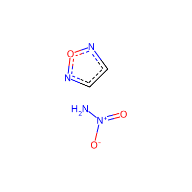 N[N+](=O)[O-].c1cnon1